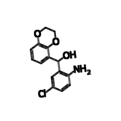 Nc1ccc(Cl)cc1C(O)c1cccc2c1OCCO2